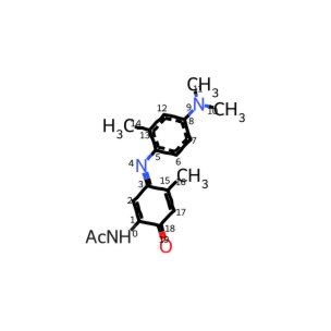 CC(=O)NC1=CC(=Nc2ccc(N(C)C)cc2C)C(C)=CC1=O